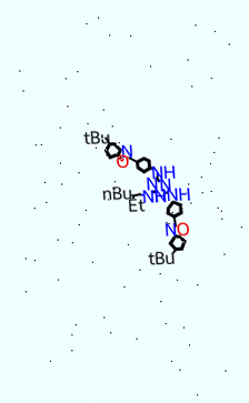 CCCCC(CC)CNc1nc(Nc2ccc(-c3nc4cc(C(C)(C)C)ccc4o3)cc2)nc(Nc2ccc(-c3nc4cc(C(C)(C)C)ccc4o3)cc2)n1